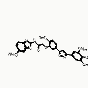 COc1ccc2nc(NC(=O)COc3cc(-c4cc(-c5cc(OC)c(OC)c(OC)c5)no4)ccc3OC)sc2c1